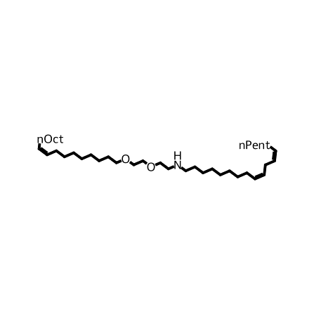 CCCCC/C=C\C/C=C\CCCCCCCCNCCOCCOCCCCCCCC/C=C\CCCCCCCC